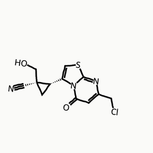 N#C[C@@]1(CO)C[C@H]1c1csc2nc(CCl)cc(=O)n12